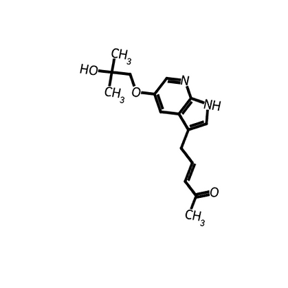 CC(=O)C=CCc1c[nH]c2ncc(OCC(C)(C)O)cc12